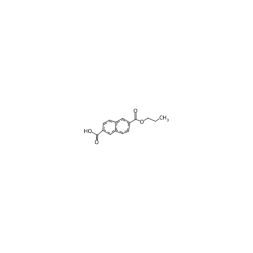 CCCOC(=O)c1ccc2cc(C(=O)O)ccc2c1